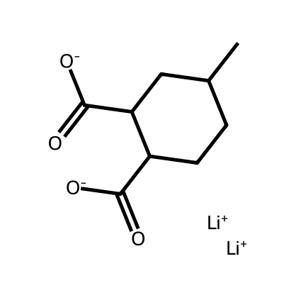 CC1CCC(C(=O)[O-])C(C(=O)[O-])C1.[Li+].[Li+]